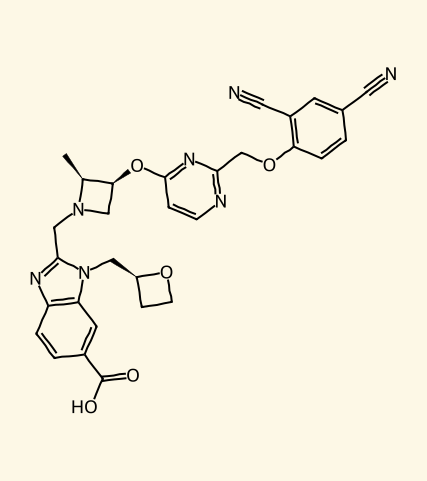 C[C@H]1[C@@H](Oc2ccnc(COc3ccc(C#N)cc3C#N)n2)CN1Cc1nc2ccc(C(=O)O)cc2n1C[C@@H]1CCO1